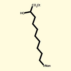 CCCCCCCCCCCCCCCCCC(O)C(=O)OCC